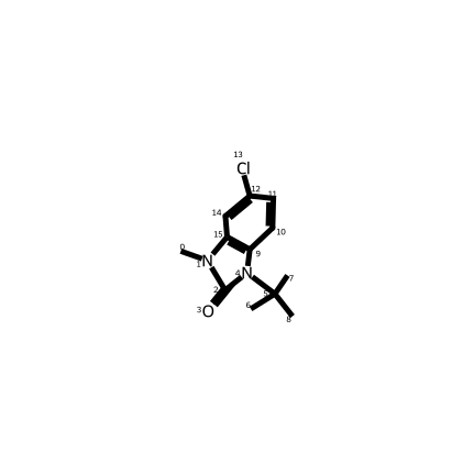 Cn1c(=O)n(C(C)(C)C)c2ccc(Cl)cc21